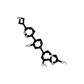 Cc1cn2cc(-c3ccc(-c4ccc(C5CNC5)nn4)c(O)c3)cc(C)c2n1